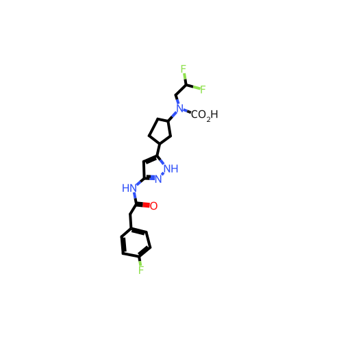 O=C(Cc1ccc(F)cc1)Nc1cc(C2CCC(N(CC(F)F)C(=O)O)C2)[nH]n1